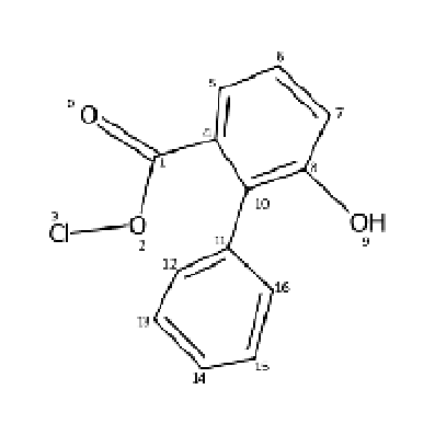 O=C(OCl)c1cccc(O)c1-c1ccccc1